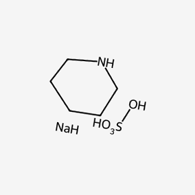 C1CCNCC1.O=S(=O)(O)O.[NaH]